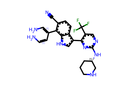 N#Cc1ccc2c(-c3nc(N[C@H]4CCCNC4)ncc3C(F)(F)F)c[nH]c2c1C(/C=C\N)=C/N